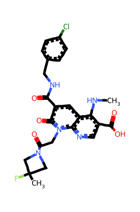 CNc1c(C(=O)O)cnc2c1cc(C(=O)NCc1ccc(Cl)cc1)c(=O)n2CC(=O)N1CC(C)(F)C1